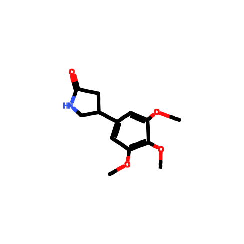 COc1cc(C2CNC(=O)C2)cc(OC)c1OC